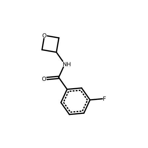 O=C(NC1COC1)c1cccc(F)c1